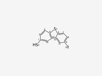 Sc1ccc2sc3ccc(I)cc3c2c1